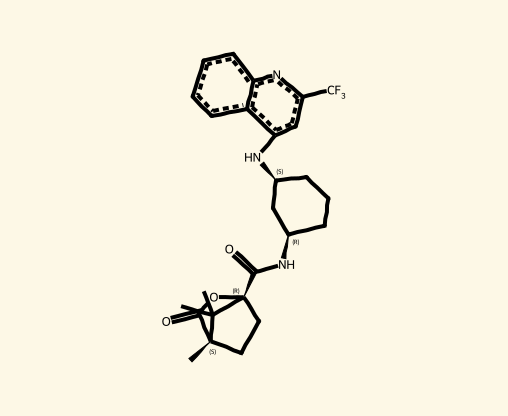 CC1(C)[C@@]2(C(=O)N[C@@H]3CCC[C@H](Nc4cc(C(F)(F)F)nc5ccccc45)C3)CC[C@]1(C)C(=O)O2